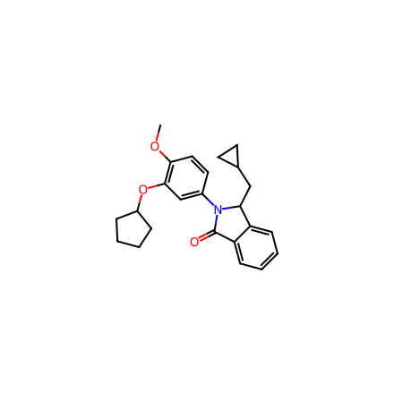 COc1ccc(N2C(=O)c3ccccc3C2CC2CC2)cc1OC1CCCC1